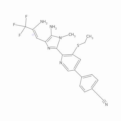 CCSc1cc(-c2ccc(C#N)cc2)cnc1-c1nc(/C=C(\N)C(F)(F)F)c(N)n1C